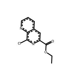 CCOC(=O)c1cc2cccnc2c(Cl)n1